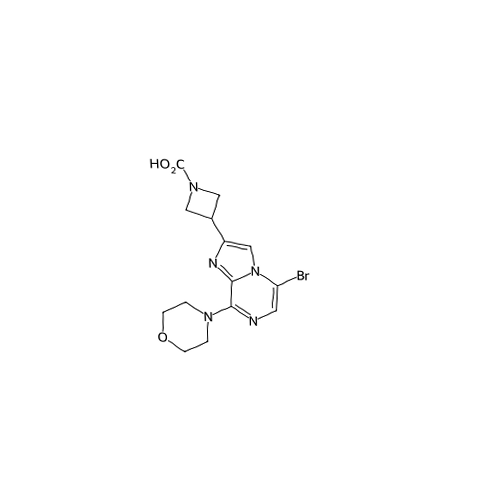 O=C(O)N1CC(c2cn3c(Br)cnc(N4CCOCC4)c3n2)C1